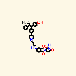 CCC(=C(c1ccc(O)cc1)c1ccc(C2CCN(CCCCNc3ccc4c(c3)C(=O)N(C3CCC(=O)NC3=O)C4=O)CC2)cc1)c1ccccc1